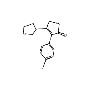 O=C1CCC(C2CCCC2)=C1c1ccc(F)cc1